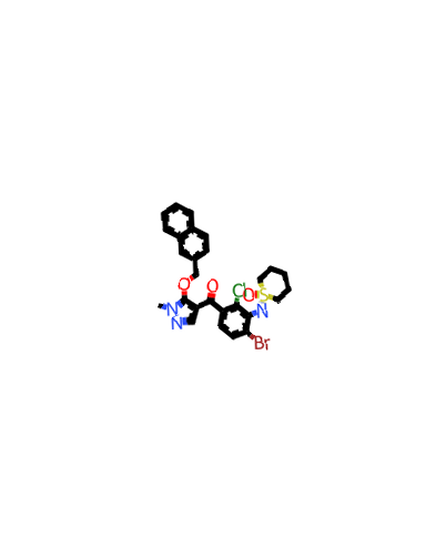 Cn1ncc(C(=O)c2ccc(Br)c(N=S3(=O)CCCCC3)c2Cl)c1OCc1ccc2ccccc2c1